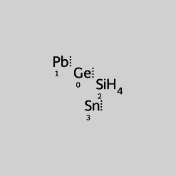 [Ge].[Pb].[SiH4].[Sn]